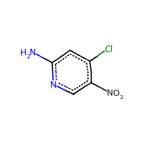 Nc1cc(Cl)c([N+](=O)[O-])cn1